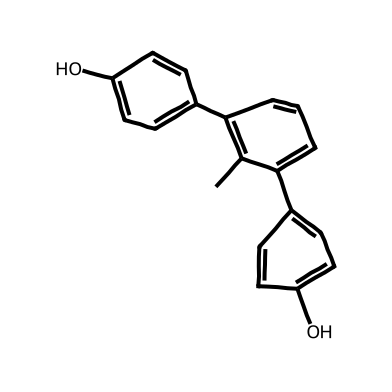 Cc1c(-c2ccc(O)cc2)cccc1-c1ccc(O)cc1